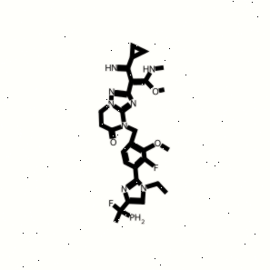 CCn1cc(C(C)(F)P)nc1-c1ccc(CN2C(=O)CCn3nc(/C(C(=N)C4CC4)=C(/NC)OC)nc32)c(OC)c1F